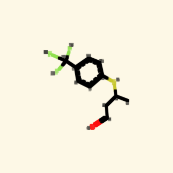 CC(CC=O)Sc1ccc(C(F)(F)F)cc1